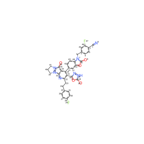 N#Cc1ccc(Cn2c(=O)oc3cc(-c4c(-c5n[nH]c(=O)o5)c(CCc5ccc(F)cc5)nc5c4c(=O)n4n5CCC4)ccc32)cc1F